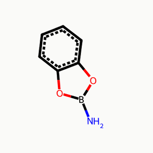 NB1Oc2ccccc2O1